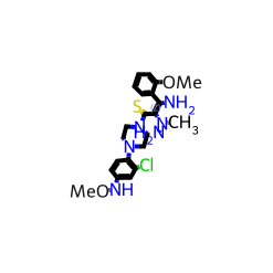 CONc1ccc(N2CCN(C(=S)/C(=C(/N)c3ccccc3OC)N(C)N)CC2)c(Cl)c1